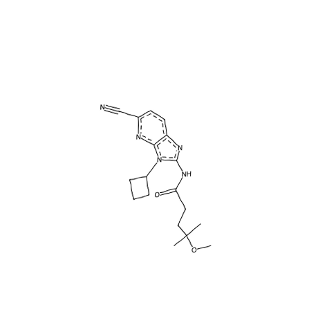 COC(C)(C)CCC(=O)Nc1nc2ccc(C#N)nc2n1C1CCC1